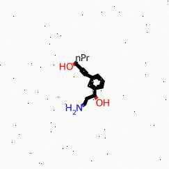 CCCC(O)C#Cc1cccc(C(O)CCN)c1